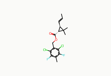 CC=C[C@@H]1[C@@H](C(=O)OCc2c(Cl)c(F)c(C)c(F)c2Cl)C1(C)C